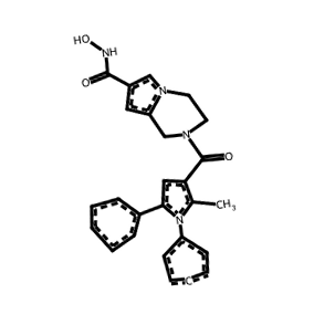 Cc1c(C(=O)N2CCn3cc(C(=O)NO)cc3C2)cc(-c2ccccc2)n1-c1ccccc1